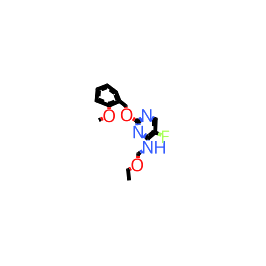 CCOCNc1nc(OCc2ccccc2OC)ncc1F